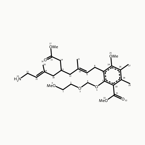 COCCOCOc1c(C/C=C(\C)CC(CC(=O)OC)C/C(C)=C/CN)c(OC)c(C)c(C)c1C(=O)OC